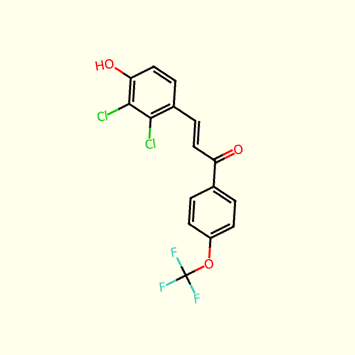 O=C(C=Cc1ccc(O)c(Cl)c1Cl)c1ccc(OC(F)(F)F)cc1